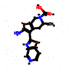 CC1Cc2c(sc(N)c2-c2nc3cnccc3s2)CN1C(=O)O